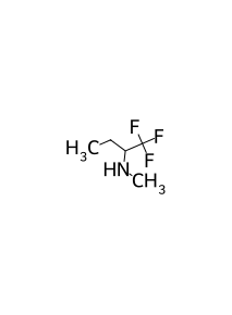 CCC(NC)C(F)(F)F